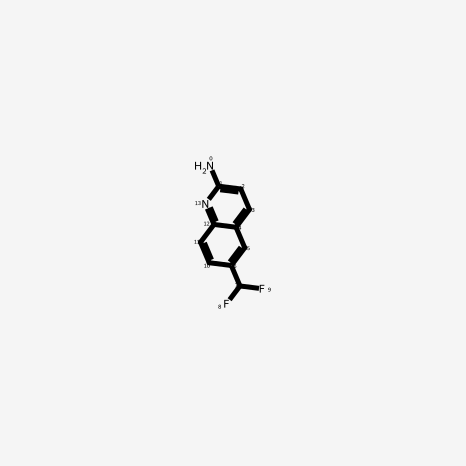 Nc1ccc2cc(C(F)F)ccc2n1